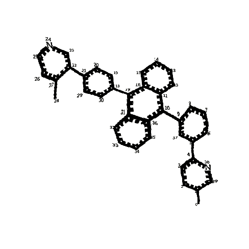 Cc1ccc(-c2cccc(-c3c4ccccc4c(-c4ccc(-c5cnccc5C)cc4)c4ccccc34)c2)nc1